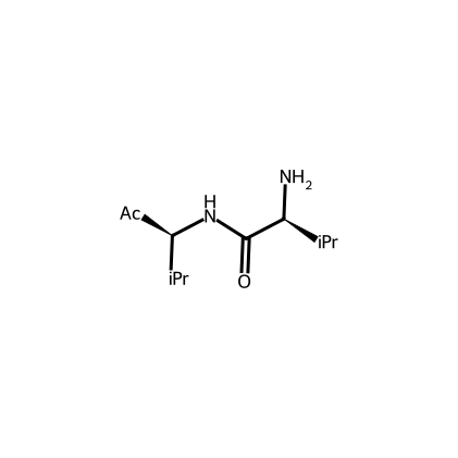 CC(=O)[C@@H](NC(=O)[C@@H](N)C(C)C)C(C)C